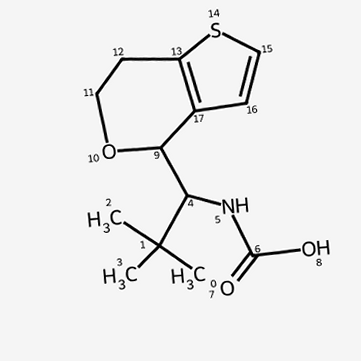 CC(C)(C)C(NC(=O)O)C1OCCc2sccc21